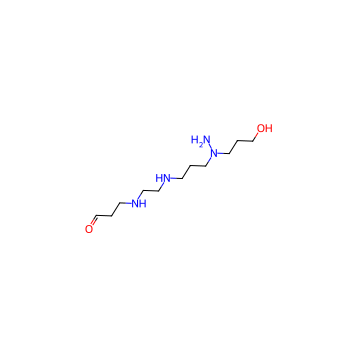 NN(CCCO)CCCNCCNCCC=O